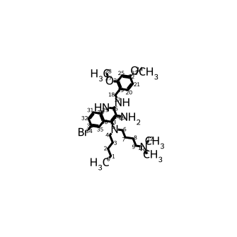 CCCCCN(CCCCN(C)C)C1=C(N)C(NCc2ccc(OC)cc2OC)Nc2ccc(Br)cc21